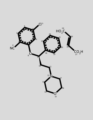 N#Cc1ccc(Cl)cc1O[C@H](CCN1CCOCC1)c1ccccc1.O=C(O)/C=C/C(=O)O